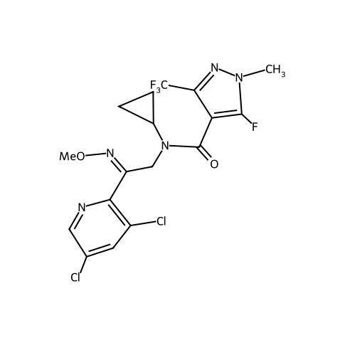 CON=C(CN(C(=O)c1c(C(F)(F)F)nn(C)c1F)C1CC1)c1ncc(Cl)cc1Cl